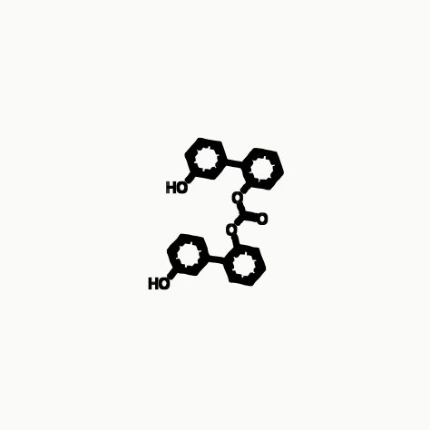 O=C(Oc1ccccc1-c1cccc(O)c1)Oc1ccccc1-c1cccc(O)c1